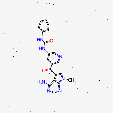 Cn1cc(C(=O)c2cncc(NC(=O)Nc3ccccc3)c2)c2c(N)ncnc21